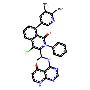 COc1ncc(-c2cccc3c(Cl)c([C@H](C)Nc4ncnc5[nH]ccc(=O)c45)n(-c4ccccc4)c(=O)c23)cc1[N+](=O)[O-]